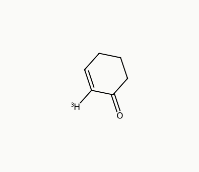 [3H]C1=CCCCC1=O